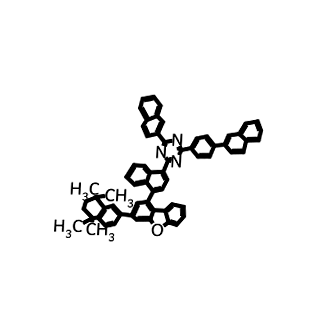 CC1(C)CCC(C)(C)c2cc(-c3cc(-c4ccc(-c5nc(-c6ccc(-c7ccc8ccccc8c7)cc6)nc(-c6ccc7ccccc7c6)n5)c5ccccc45)c4c(c3)oc3ccccc34)ccc21